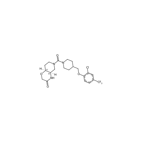 O=C1CO[C@H]2CCN(C(=O)N3CCC(COc4ccc(C(F)(F)F)cc4Cl)CC3)C[C@H]2N1